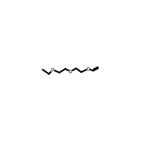 C=COCCOCCOCC